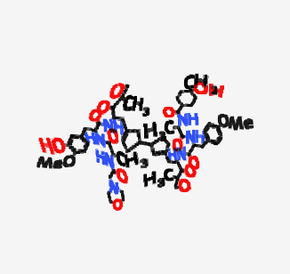 COc1ccc(CC(NC(=O)C(C)NC(=O)C2CCC(C)(O)CC2)C(=O)NC(CC2=CC(C3CC=C(CC(NC(=O)C(Cc4ccc(OC)c(O)c4)NC(=O)C(C)NC(=O)CN4CCOCC4)C(=O)C4(C)CO4)C3)CC2)C(=O)C2(C)CO2)cc1